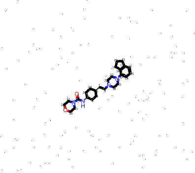 O=C(N[C@H]1CC[C@H](CCN2CCN(c3cccc4c3CCC4)CC2)CC1)N1CCOCC1